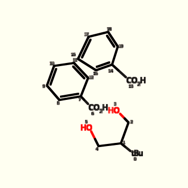 CC(C)(C)C(CO)CO.O=C(O)c1ccccc1.O=C(O)c1ccccc1